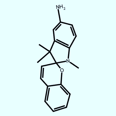 CN1c2ccc(N)cc2C(C)(C)C12C=Cc1ccccc1O2